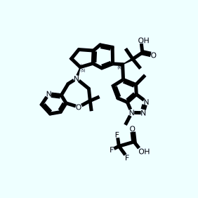 Cc1c([C@@H](c2ccc3c(c2)[C@@H](N2Cc4ncccc4OC(C)(C)C2)CC3)C(C)(C)C(=O)O)ccc2c1nnn2C.O=C(O)C(F)(F)F